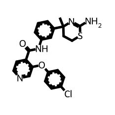 CC1(c2cccc(NC(=O)c3ccncc3Oc3ccc(Cl)cc3)c2)CCSC(N)=N1